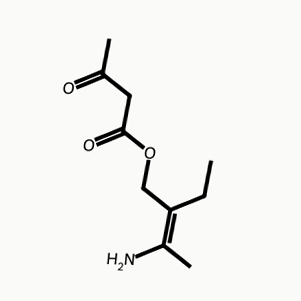 CC/C(COC(=O)CC(C)=O)=C(\C)N